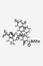 CNC(=O)c1cc(-c2cccnc2[C@H](Cc2cc(F)cc(F)c2)NC(=O)Cn2nc(C(F)F)c3c2C2CC2C3)ccc1F